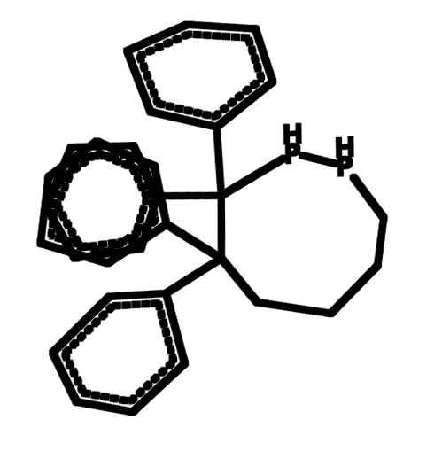 c1ccc(C2(c3ccccc3)CCCCPPC2(c2ccccc2)c2ccccc2)cc1